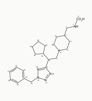 O=C(O)NCC1CCN(CC(c2nnn(Cc3ccccc3)n2)C2CCCC2)CC1